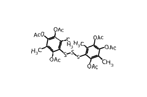 CC(=O)Oc1c(C)c(OC(C)=O)c(SSSc2c(C)c(OC(C)=O)c(OC(C)=O)c(C)c2OC(C)=O)c(C)c1OC(C)=O